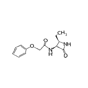 CC[C@H]1NC(=O)[C@H]1NC(=O)COc1ccccc1